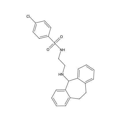 O=S(=O)(NCCNC1c2ccccc2CCc2ccccc21)c1ccc(Cl)cc1